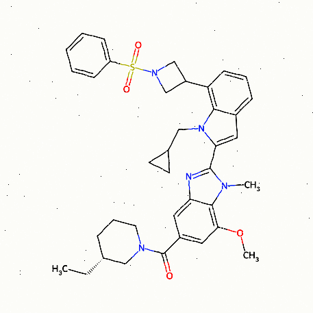 CC[C@@H]1CCCN(C(=O)c2cc(OC)c3c(c2)nc(-c2cc4cccc(C5CN(S(=O)(=O)c6ccccc6)C5)c4n2CC2CC2)n3C)C1